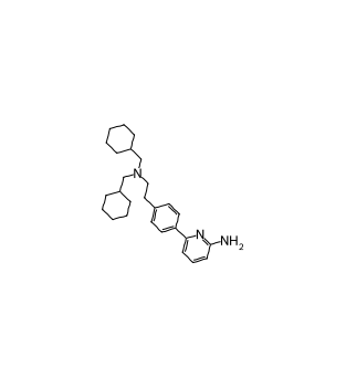 Nc1cccc(-c2ccc(CCN(CC3CCCCC3)CC3CCCCC3)cc2)n1